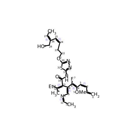 C=C\C=C/C(OC)=C(F)/C(=C/N=C\C)C(/C(=O)Nc1nnc(OCC/C=C\C(=C/C)CO)s1)=C(\C)CC